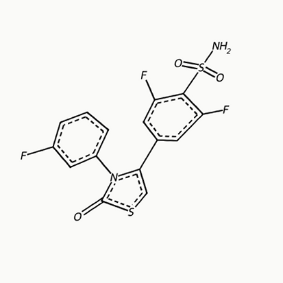 NS(=O)(=O)c1c(F)cc(-c2csc(=O)n2-c2cccc(F)c2)cc1F